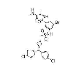 CNC(=O)[C@H](C)NC(=O)c1cc(Br)cc(NS(=O)(=O)CC2CN(C(c3ccc(Cl)cc3)c3ccc(Cl)cc3)C2)c1